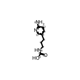 Nc1ccc(CCCNC(=O)O)cn1